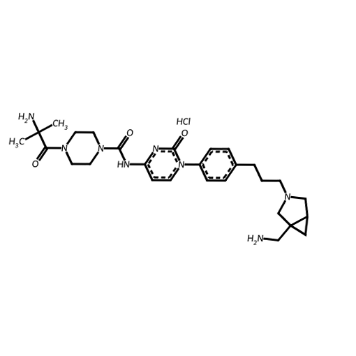 CC(C)(N)C(=O)N1CCN(C(=O)Nc2ccn(-c3ccc(CCCN4CC5CC5(CN)C4)cc3)c(=O)n2)CC1.Cl